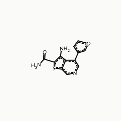 NC(=O)c1sc2cncc(-c3ccoc3)c2c1N